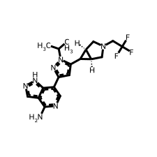 CC(C)n1nc(-c2cnc(N)c3cn[nH]c23)cc1C1[C@H]2CN(CC(F)(F)F)C[C@@H]12